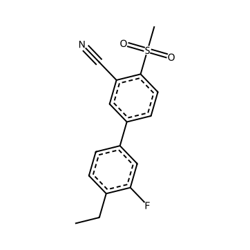 CCc1ccc(-c2ccc(S(C)(=O)=O)c(C#N)c2)cc1F